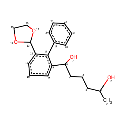 CC(O)CCCC(O)c1cccc(C2OCCO2)c1-c1ccccc1